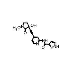 CN1CC[C@@](O)(C#Cc2ccnc(NC(=O)c3cc[nH]n3)c2)C1=O